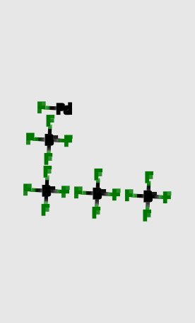 F[B-](F)(F)F.F[B-](F)(F)F.F[B-](F)(F)F.F[B-](F)(F)F.[F][Pd]